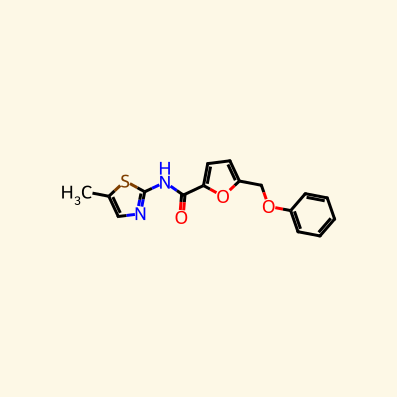 Cc1cnc(NC(=O)c2ccc(COc3ccccc3)o2)s1